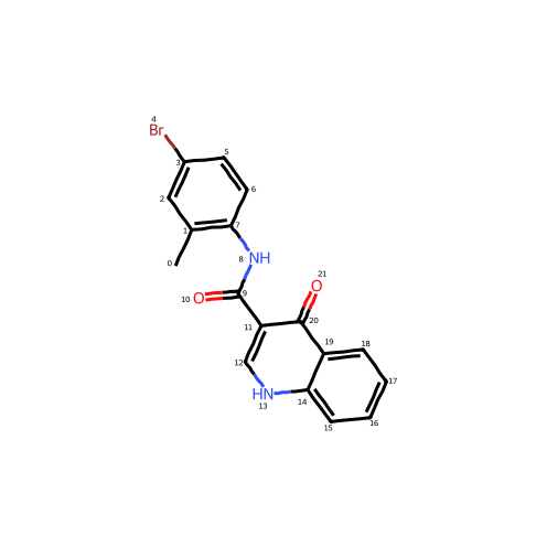 Cc1cc(Br)ccc1NC(=O)c1c[nH]c2ccccc2c1=O